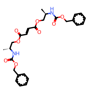 C[C@H](COC(=O)/C=C/C(=O)OC[C@@H](C)NC(=O)OCc1ccccc1)NC(=O)OCc1ccccc1